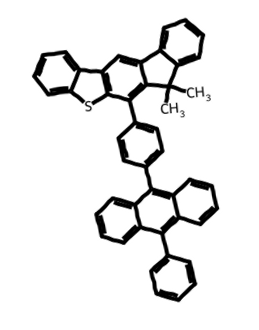 CC1(C)c2ccccc2-c2cc3c(sc4ccccc43)c(-c3ccc(-c4c5ccccc5c(-c5ccccc5)c5ccccc45)cc3)c21